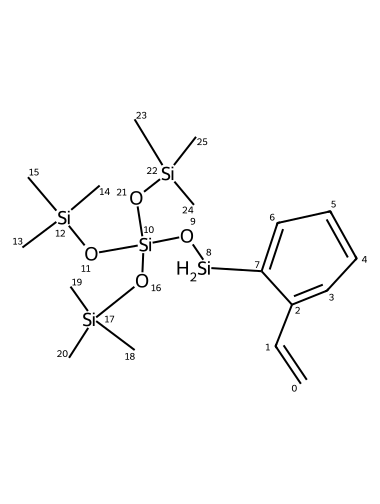 C=Cc1ccccc1[SiH2]O[Si](O[Si](C)(C)C)(O[Si](C)(C)C)O[Si](C)(C)C